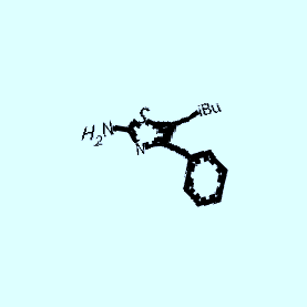 CCC(C)c1sc(N)nc1-c1ccccc1